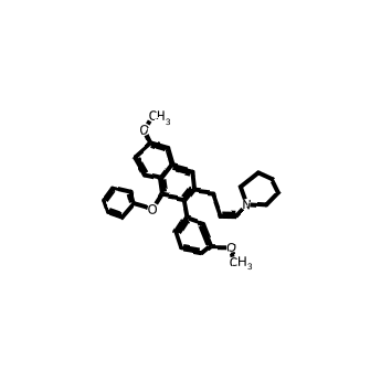 COc1cccc(-c2c(CC=CN3CCCCC3)cc3cc(OC)ccc3c2Oc2ccccc2)c1